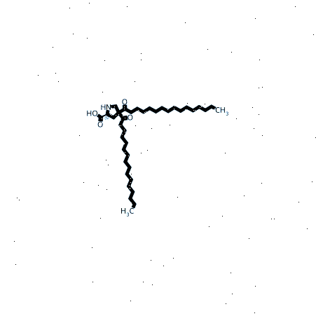 CCCCCCCCCCCCCCCC(=O)C1(C(=O)CCCCCCCCCCCCCCC)CN[C@H](C(=O)O)C1